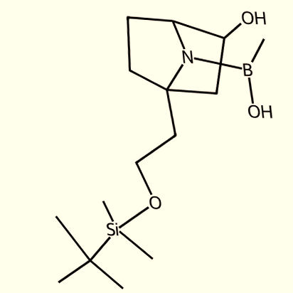 CB(O)N1C2CCC1(CCO[Si](C)(C)C(C)(C)C)CC2O